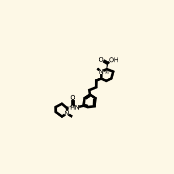 CN1CCCC[C@@H]1C(=O)Nc1cccc(CCCC2CCC[C@H](C(=O)O)N2C)c1